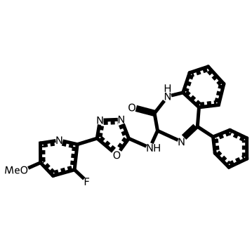 COc1cnc(-c2nnc(NC3N=C(c4ccccc4)c4ccccc4NC3=O)o2)c(F)c1